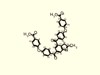 CC(=O)c1ccc(Oc2ccc(C(=O)c3cc4c(c(C(=O)c5ccc(Oc6ccc(C(C)=O)cc6)cc5)c3)CC(C)=N4)cc2)cc1